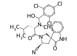 CC(C)C[C@@H](C(=O)N1C[C@]2(C[C@H]1C#N)C(=O)Nc1ccccc12)N(C)C(O)c1c(Cl)cc(Cl)cc1Cl